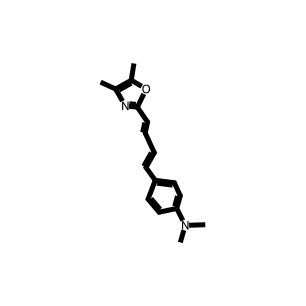 Cc1nc(C=CC=Cc2ccc(N(C)C)cc2)oc1C